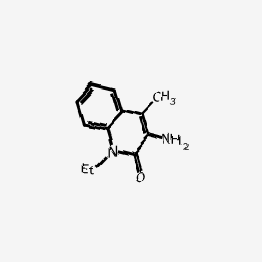 CCn1c(=O)c(N)c(C)c2ccccc21